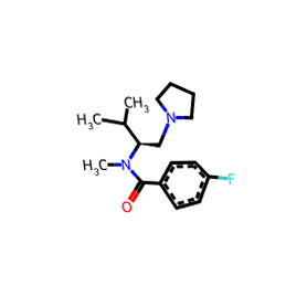 CC(C)[C@@H](CN1CCCC1)N(C)C(=O)c1ccc(F)cc1